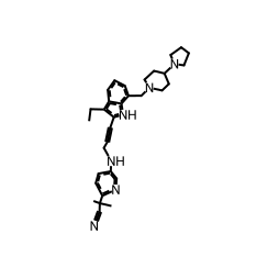 CCc1c(C#CCNc2ccc(C(C)(C)C#N)nc2)[nH]c2c(CN3CCC(N4CCCC4)CC3)cccc12